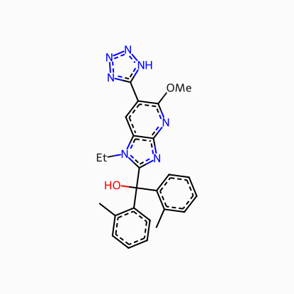 CCn1c(C(O)(c2ccccc2C)c2ccccc2C)nc2nc(OC)c(-c3nnn[nH]3)cc21